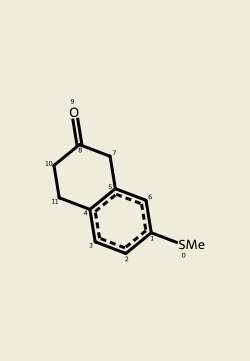 CSc1ccc2c(c1)CC(=O)CC2